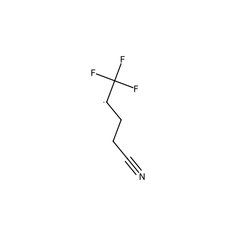 N#CCC[CH]C(F)(F)F